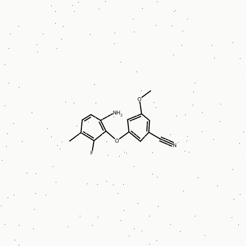 COc1cc(C#N)cc(Oc2c(N)ccc(C)c2F)c1